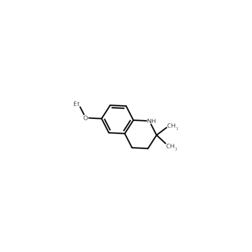 CCOc1ccc2c(c1)CCC(C)(C)N2